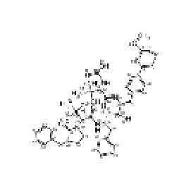 COc1cccc(-c2ccc(C[C@H](NC(=O)[C@@H](NC(=O)O)C(C)(C)C)[C@@H](O)C[C@H](Cc3ccccc3)NC(=O)[C@@H](N3CCN(Cc4ccccc4)C3=O)C(C)(C)C)cc2)n1